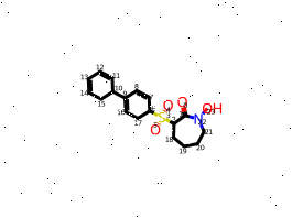 O=C1C(S(=O)(=O)C2C=CC(C3C=CC=CC3)=CC2)CCCCN1O